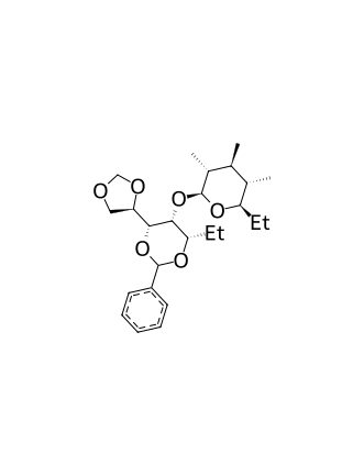 CC[C@@H]1OC(c2ccccc2)O[C@H]([C@H]2COCO2)[C@@H]1O[C@@H]1O[C@H](CC)[C@@H](C)[C@H](C)[C@H]1C